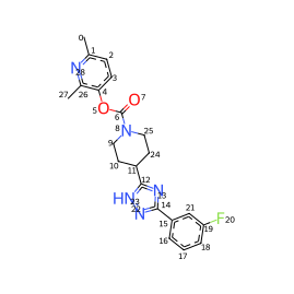 Cc1ccc(OC(=O)N2CCC(c3nc(-c4cccc(F)c4)n[nH]3)CC2)c(C)n1